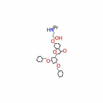 CC(C)NCCC(O)Oc1ccc2c(=O)cc(-c3cc(OCc4ccccc4)cc(OCc4ccccc4)c3)oc2c1